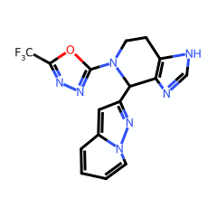 FC(F)(F)c1nnc(N2CCc3[nH]cnc3C2c2cc3ccccn3n2)o1